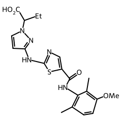 CCC(C(=O)O)n1ccc(Nc2ncc(C(=O)Nc3c(C)ccc(OC)c3C)s2)n1